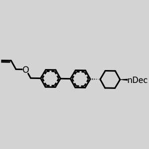 C=CCOCc1ccc(-c2ccc([C@H]3CC[C@H](CCCCCCCCCC)CC3)cc2)cc1